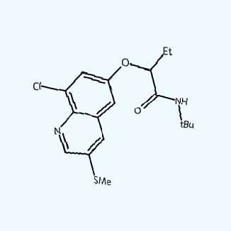 CCC(Oc1cc(Cl)c2ncc(SC)cc2c1)C(=O)NC(C)(C)C